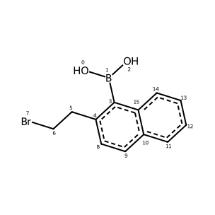 OB(O)c1c(CCBr)ccc2ccccc12